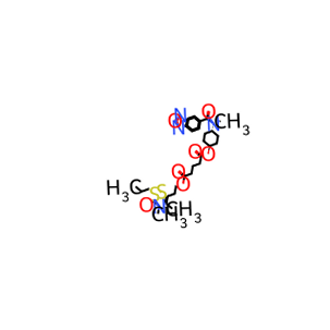 CCCSS/C(CCOC(=O)CCCC(=O)O[C@H]1CC[C@H](N(C)C(=O)c2ccc3nonc3c2)CC1)=C(/C)N(C)C=O